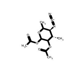 CC(=O)OC1OC(C)[C@@H](N=[N+]=[N-])[C@H](C)C1OC(C)=O